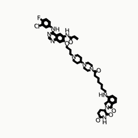 C=CC(=O)Nc1cc2c(Nc3ccc(F)c(Cl)c3)ncnc2cc1OCCCN1CCC(N2CCN(C(=O)CCCCCCNc3cccc4c3CN(C3CCC(=O)NC3=O)C4=O)CC2)CC1